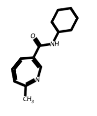 CC1=NC=C(C(=O)NC2CCCCC2)C=C=C1